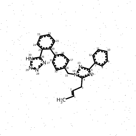 C/C=C/Cc1nc(-c2ccccc2)nn1Cc1ccc(-c2ccccc2-c2nnn[nH]2)cc1